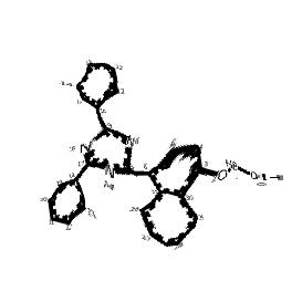 OBOc1ccc(-c2nc(-c3ccccc3)nc(-c3ccccc3)n2)c2ccccc12